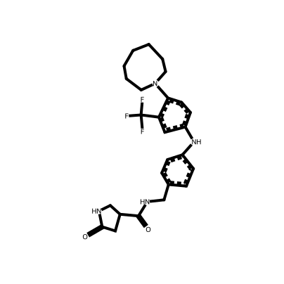 O=C1CC(C(=O)NCc2ccc(Nc3ccc(N4CCCCCCC4)c(C(F)(F)F)c3)cc2)CN1